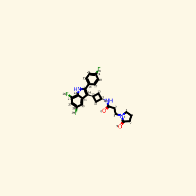 O=C(CCN1CCCC1=O)N[C@H]1C[C@H](c2c(-c3ccc(F)cc3)[nH]c3c(F)cc(F)cc32)C1